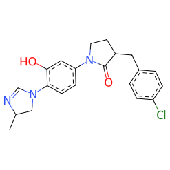 CC1CN(c2ccc(N3CCC(Cc4ccc(Cl)cc4)C3=O)cc2O)C=N1